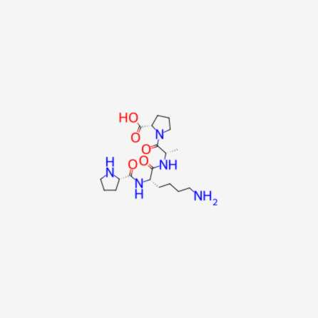 C[C@H](NC(=O)[C@H](CCCCN)NC(=O)[C@@H]1CCCN1)C(=O)N1CCC[C@H]1C(=O)O